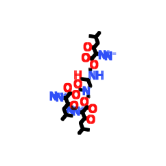 CC(C)CC(=O)C(=[N+]=[N-])C(=O)OCNC(CO)CN(COC(=O)C(=[N+]=[N-])C(=O)CC(C)C)COC(=O)C(=[N+]=[N-])C(=O)CC(C)C